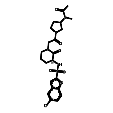 CC(=O)N(C)C1CCN(C(=O)CN2CCC[C@H](NS(=O)(=O)c3cc4cc(Cl)ccc4s3)C2=O)C1